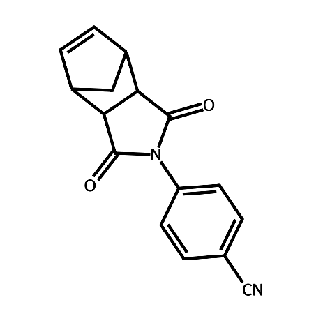 N#Cc1ccc(N2C(=O)C3C4C=CC(C4)C3C2=O)cc1